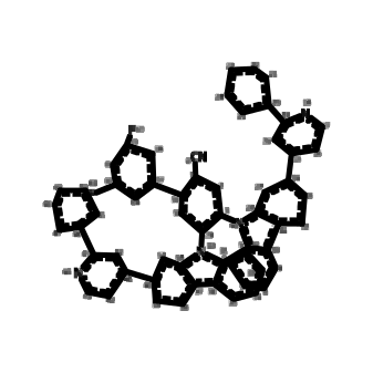 N#Cc1cc(-n2c3ccccc3c3ccc(-c4ccnc(-c5ccccc5)c4)cc32)c(-n2c3ccccc3c3ccc(-c4ccnc(-c5ccccc5)c4)cc32)cc1-c1cc(F)cc(F)c1